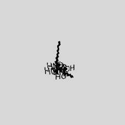 CCCCCCCCCCCC(=O)NC(C(=O)NC(C(=O)O)C(O)CCCCC)C(C)O